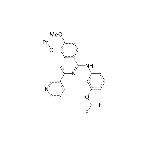 C=C(/N=C(/Nc1cccc(OC(F)F)c1)c1cc(OC(C)C)c(OC)cc1C)c1cccnc1